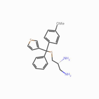 COc1ccc(C(SC[C@H](N)CN)(c2ccccc2)c2ccsc2)cc1